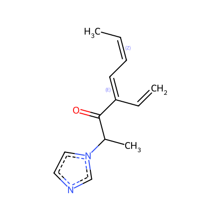 C=C/C(=C\C=C/C)C(=O)C(C)n1ccnc1